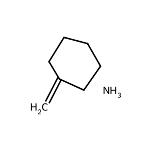 C=C1CCCCC1.N